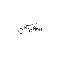 CC(C=C1C(=O)N(c2ccccc2)C1C)=NO